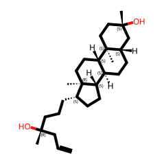 C=CC[C@](C)(O)CCC[C@H]1CC[C@H]2[C@@H]3CC[C@H]4C[C@@](C)(O)CC[C@]4(C)[C@H]3CC[C@]12C